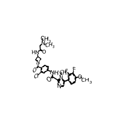 COc1ccc(-c2cnc(C(=O)Nc3ccc(C(=O)N4CC(NC(=O)CN(C)C)C4)c(Cl)c3)n2C)c(F)c1F